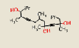 CC(C)CC(C)(O)C#CC(C)(O)CC(C)CC#CC(C)C(O)C(C)C